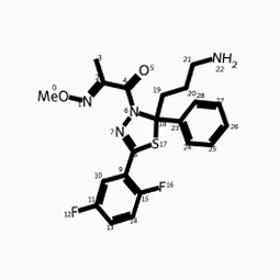 CON=C(C)C(=O)N1N=C(c2cc(F)ccc2F)SC1(CCCN)c1ccccc1